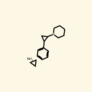 C1CC1.N.c1ccc(C2CC2N2CCCCC2)cc1